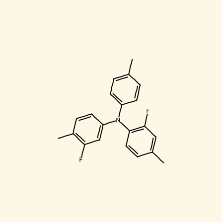 Cc1ccc(N(c2ccc(C)c(F)c2)c2ccc(C)cc2F)cc1